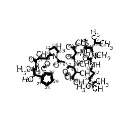 CC[C@H](C)[C@@H]([C@@H](CC(=O)N1CCC[C@H]1[C@H](OC)[C@@H](C)C(=O)N[C@H](C)[C@@H](O)c1ccccc1)OC)N(C)C(=O)[C@@H](NC(=O)[C@H](C(C)C)N(C)C(=O)NCCC[Si](C)(C)O)C(C)C